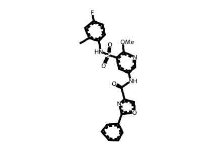 COc1ncc(NC(=O)c2coc(-c3ccccc3)n2)cc1S(=O)(=O)Nc1ccc(F)cc1C